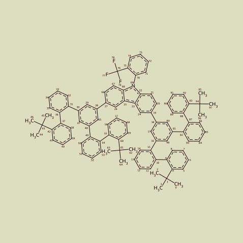 CC(C)(C)c1ccccc1-c1ccccc1-c1cc(-c2ccc3c(c2)c2cc(-c4cc(-c5ccccc5-c5ccccc5C(C)(C)C)cc(-c5ccccc5-c5ccccc5C(C)(C)C)c4)ccc2n3-c2ccccc2C(F)(F)F)cc(-c2ccccc2-c2ccccc2C(C)(C)C)c1